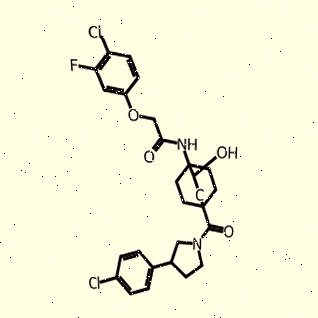 O=C(COc1ccc(Cl)c(F)c1)NC12CCC(C(=O)N3CCC(c4ccc(Cl)cc4)C3)(CC1)CC2O